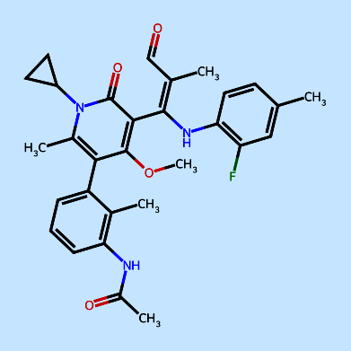 COc1c(-c2cccc(NC(C)=O)c2C)c(C)n(C2CC2)c(=O)c1/C(Nc1ccc(C)cc1F)=C(/C)C=O